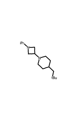 CC(C)N1CC(N2CCC(CC(C)(C)C)CC2)C1